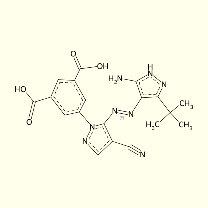 CC(C)(C)c1n[nH]c(N)c1/N=N/c1c(C#N)cnn1-c1cc(C(=O)O)cc(C(=O)O)c1